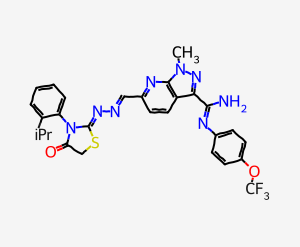 CC(C)c1ccccc1N1C(=O)CS/C1=N\N=C\c1ccc2c(C(N)=Nc3ccc(OC(F)(F)F)cc3)nn(C)c2n1